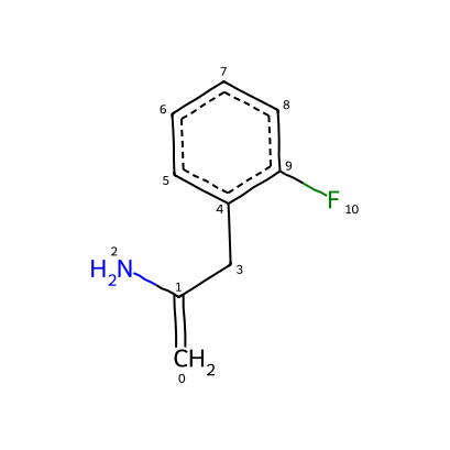 C=C(N)Cc1ccccc1F